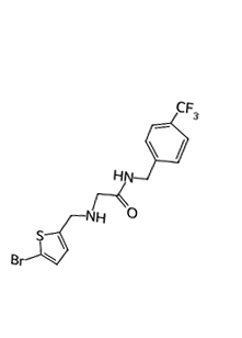 O=C(CNCc1ccc(Br)s1)NCc1ccc(C(F)(F)F)cc1